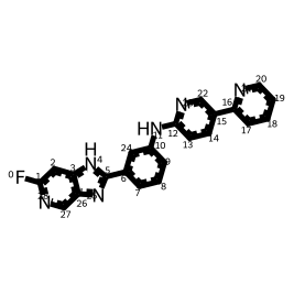 Fc1cc2[nH]c(-c3cccc(Nc4ccc(-c5ccccn5)cn4)c3)nc2cn1